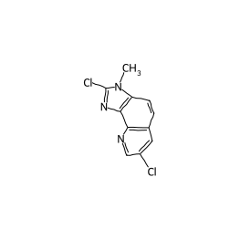 Cn1c(Cl)nc2c3ncc(Cl)cc3ccc21